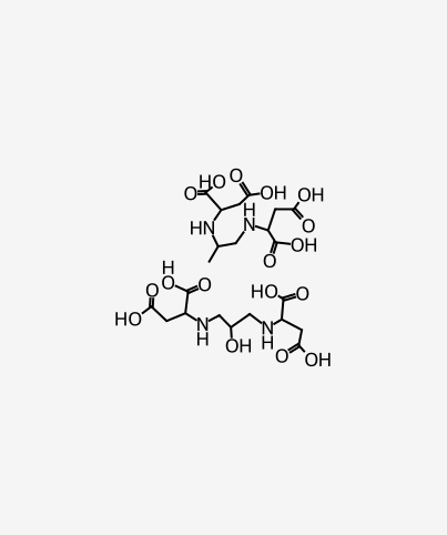 CC(CNC(CC(=O)O)C(=O)O)NC(CC(=O)O)C(=O)O.O=C(O)CC(NCC(O)CNC(CC(=O)O)C(=O)O)C(=O)O